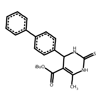 CC1=C(C(=O)OCC(C)C)C(c2ccc(-c3ccccc3)cc2)NC(=S)N1